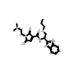 CCCOCC(NC(=O)C1=CC(=O)N(CCN(C)C)C1=O)c1nc2ccccc2[nH]1